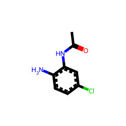 CC(=O)Nc1cc(Cl)ccc1N